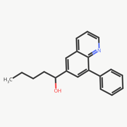 CCCCC(O)c1cc(-c2ccccc2)c2ncccc2c1